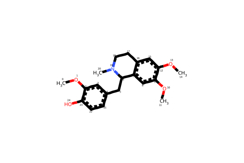 COc1cc(CC2c3cc(OC)c(OC)cc3CCN2C)ccc1O